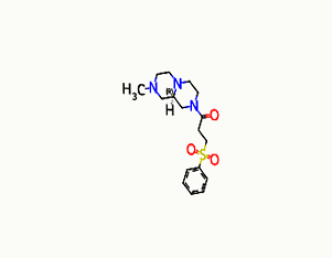 CN1CCN2CCN(C(=O)CCS(=O)(=O)c3ccccc3)C[C@H]2C1